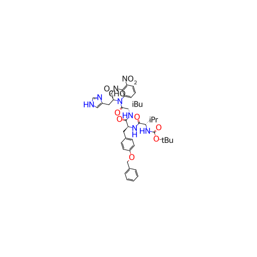 CC[C@H](C)[C@H](NC(=O)[C@H](Cc1ccc(OCc2ccccc2)cc1)NC(=O)[C@@H](NC(=O)OC(C)(C)C)C(C)C)C(=O)N(c1cccc([N+](=O)[O-])c1[N+](=O)[O-])[C@H]([C]=O)Cc1c[nH]cn1